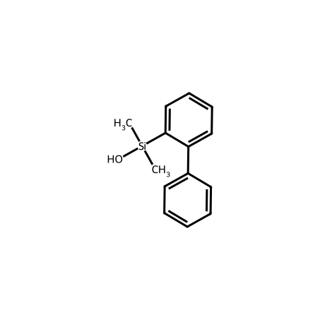 C[Si](C)(O)c1ccccc1-c1ccccc1